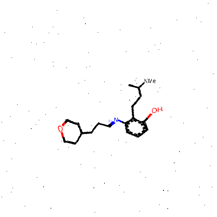 CNC(C)CCc1c(O)cccc1/N=C/CCC1CCOCC1